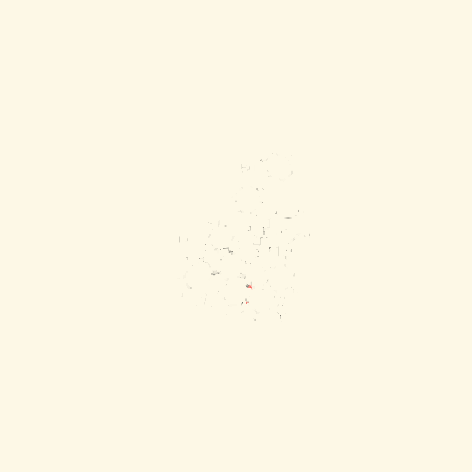 CC(C)(C)c1cc2c(cc1-c1ccccc1)[CH]([Zr]([Cl])([Cl])(=[C](c1cccc3c(Cl)cccc13)c1cccc3c(Cl)cccc13)[CH]1C=CC=C1)c1cc(-c3ccccc3)c(C(C)(C)C)cc1-2